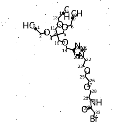 C#CCOCC(COCC#C)(COCC#C)COCc1cn(CCOCCOCCNC(=O)CBr)nn1